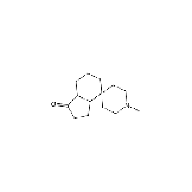 CN1CCC2(CCCC3C(=O)CCC32)CC1